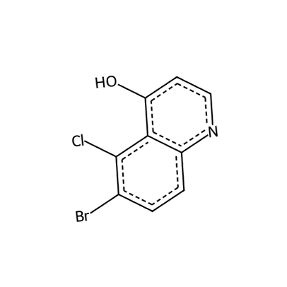 Oc1ccnc2ccc(Br)c(Cl)c12